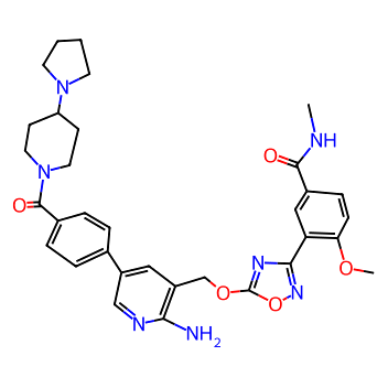 CNC(=O)c1ccc(OC)c(-c2noc(OCc3cc(-c4ccc(C(=O)N5CCC(N6CCCC6)CC5)cc4)cnc3N)n2)c1